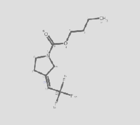 CCCCOC(=O)N1CC/C(=C/C(F)(F)F)C1